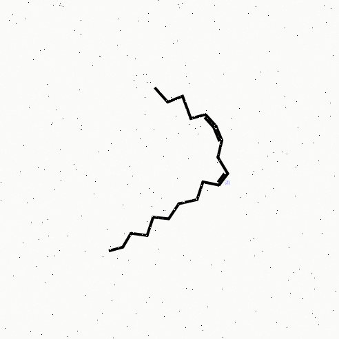 CCCCC=C=CC/C=C\CCCCCCCCC